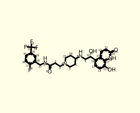 O=C(CCN1CCC(NC[C@H](O)c2ccc(O)c3[nH]c(=O)ccc23)CC1)NCc1cc(C(F)(F)F)ccc1F